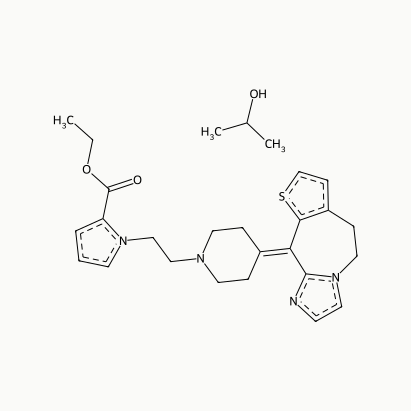 CC(C)O.CCOC(=O)c1cccn1CCN1CCC(=C2c3sccc3CCn3ccnc32)CC1